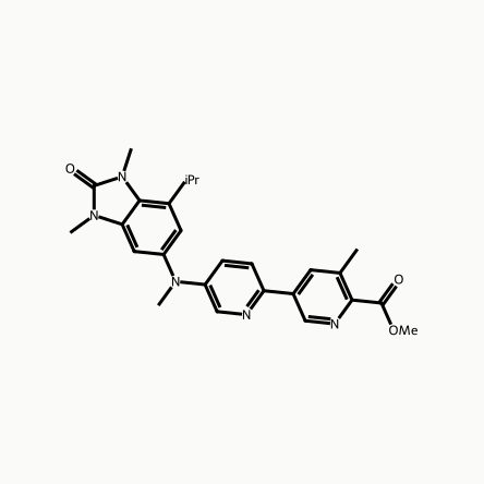 COC(=O)c1ncc(-c2ccc(N(C)c3cc(C(C)C)c4c(c3)n(C)c(=O)n4C)cn2)cc1C